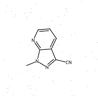 Cn1nc(C#N)c2cccnc21